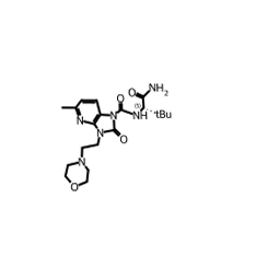 Cc1ccc2c(n1)n(CCN1CCOCC1)c(=O)n2C(=O)N[C@H](C(N)=O)C(C)(C)C